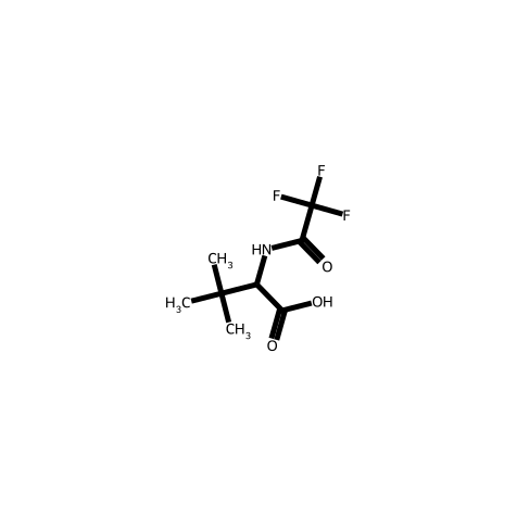 CC(C)(C)C(NC(=O)C(F)(F)F)C(=O)O